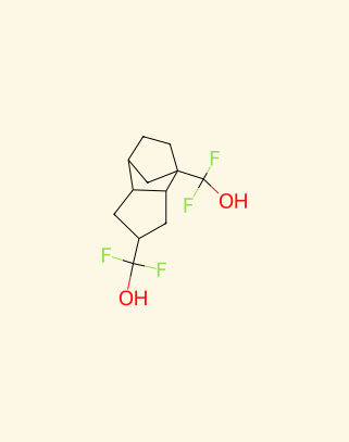 OC(F)(F)C1CC2C3CCC(C(O)(F)F)(C3)C2C1